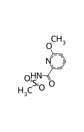 COc1cccc(C(=O)NS(C)(=O)=O)n1